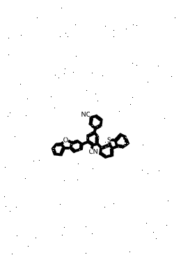 N#Cc1cccc(-c2cc(-c3ccc4c(c3)oc3ccccc34)c(C#N)c(-c3cccc4c3sc3ccccc34)c2)c1